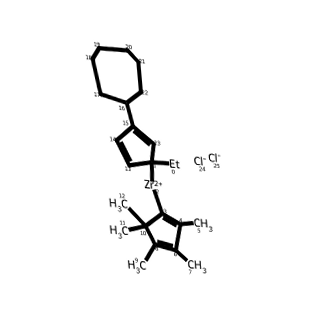 CC[C]1([Zr+2][C]2=C(C)C(C)=C(C)C2(C)C)C=CC(C2CCCCCC2)=C1.[Cl-].[Cl-]